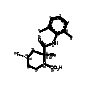 Cc1cccc(C)c1NC(=O)[C@@]1(C(C)(C)C)C[C@@H](F)CCN1C(=O)O